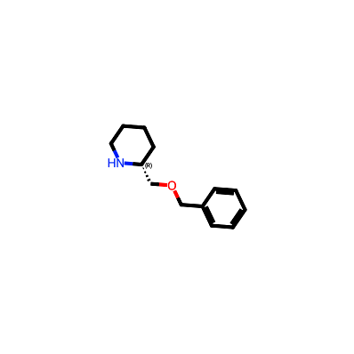 c1ccc(COC[C@H]2CCCCN2)cc1